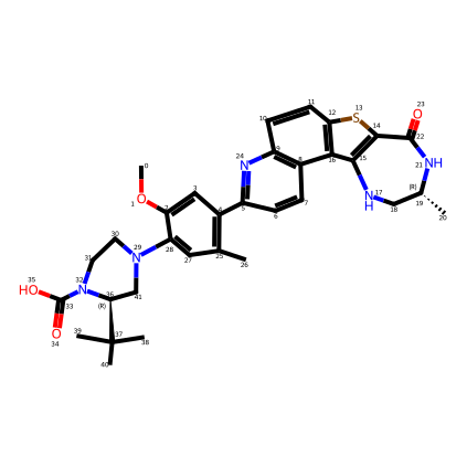 COc1cc(-c2ccc3c(ccc4sc5c(c43)NC[C@@H](C)NC5=O)n2)c(C)cc1N1CCN(C(=O)O)[C@H](C(C)(C)C)C1